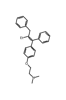 CCC(Cc1ccccc1)=C(c1ccccc1)c1ccc(OCCN(C)C)cc1